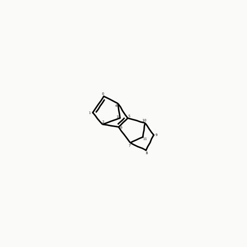 C1=CC2CC1C1=C2C2CCC1C2